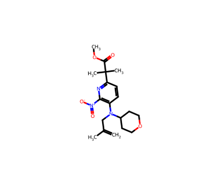 C=C(C)CN(c1ccc(C(C)(C)C(=O)OC)nc1[N+](=O)[O-])C1CCOCC1